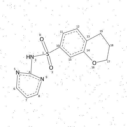 O=S(=O)(Nc1ncccn1)c1ccc2c(c1)OCCC2